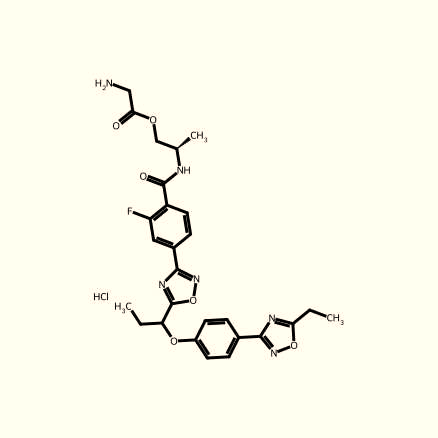 CCc1nc(-c2ccc(OC(CC)c3nc(-c4ccc(C(=O)N[C@H](C)COC(=O)CN)c(F)c4)no3)cc2)no1.Cl